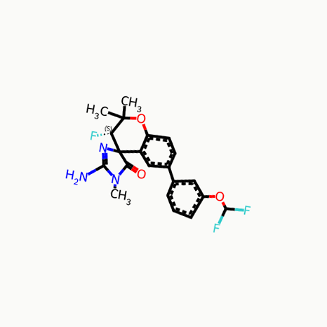 CN1C(=O)C2(N=C1N)c1cc(-c3cccc(OC(F)F)c3)ccc1OC(C)(C)[C@H]2F